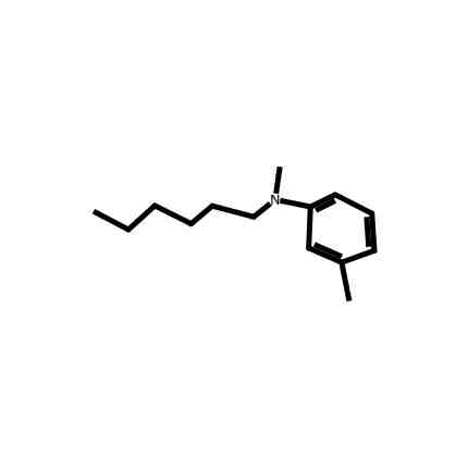 CCCCCCN(C)c1cccc(C)c1